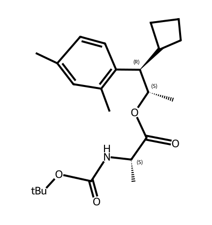 Cc1ccc([C@@H](C2CCC2)[C@H](C)OC(=O)[C@H](C)NC(=O)OC(C)(C)C)c(C)c1